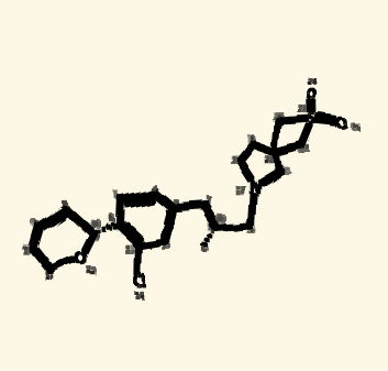 C[C@H](Cc1ccc([C@H]2CCCCO2)c(Cl)c1)CN1CCC2(C1)CS(=O)(=O)C2